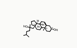 CC(C)CCC(C)(O)C[C@@]12CCC[C@H]1[C@@H]1CC=C3C[C@@H](O)CC[C@]3(C)[C@H]1CC2